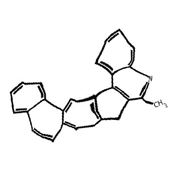 Cc1nc2ccccc2c2c1Cc1cc3ccc4ccccc4c3cc1-2